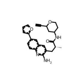 C#CC1CC(NC(=O)[C@H](C)Cc2cc3cc(-c4ccco4)ccc3nc2N)CCO1